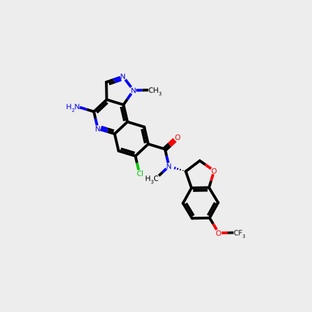 CN(C(=O)c1cc2c(cc1Cl)nc(N)c1cnn(C)c12)[C@@H]1COc2cc(OC(F)(F)F)ccc21